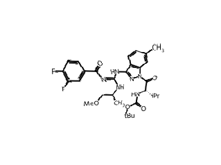 COC[C@H](C)N/C(=N/C(=O)c1ccc(F)c(F)c1)Nc1nn(C(=O)[C@@H](NC(=O)OC(C)(C)C)C(C)C)c2cc(C)ccc12